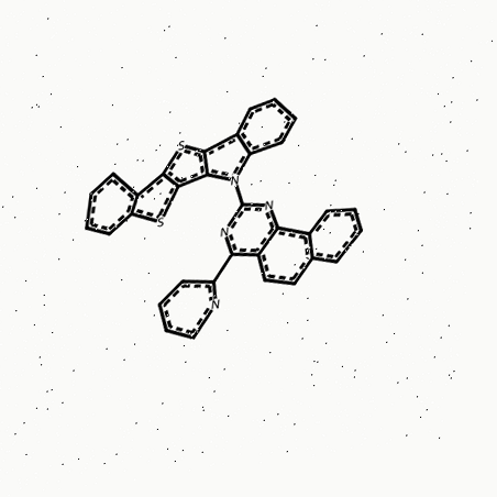 c1ccc(-c2nc(-n3c4ccccc4c4sc5c6ccccc6sc5c43)nc3c2ccc2ccccc23)nc1